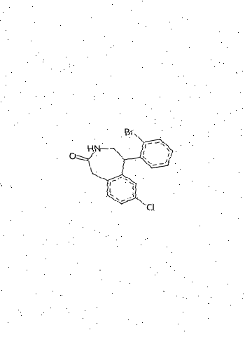 O=C1Cc2ccc(Cl)cc2C(c2ccccc2Br)CN1